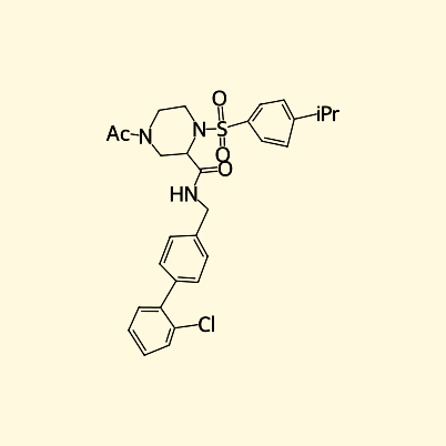 CC(=O)N1CCN(S(=O)(=O)c2ccc(C(C)C)cc2)C(C(=O)NCc2ccc(-c3ccccc3Cl)cc2)C1